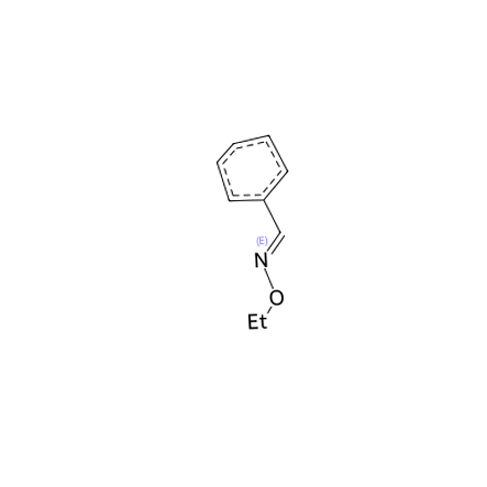 CCO/N=C/c1ccccc1